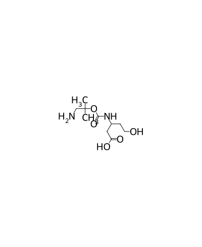 CC(C)(CN)OC(=O)NC(CCO)CC(=O)O